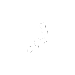 CC1=NN(c2ccc3ccccc3c2)C(=O)C1C(=O)Nc1ccccc1